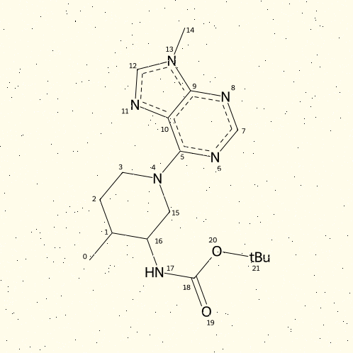 CC1CCN(c2ncnc3c2ncn3C)CC1NC(=O)OC(C)(C)C